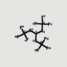 FC(F)(F)SC(SC(F)(F)F)SC(F)(F)F